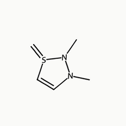 C=S1C=CN(C)N1C